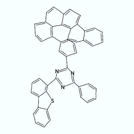 c1ccc(-c2nc(-c3cccc(-c4cccc5ccc6ccc7c8ccccc8ccc7c6c45)c3)nc(-c3cccc4c3sc3ccccc34)n2)cc1